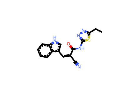 CCc1nnc(NC(=O)C(C#N)=Cc2c[nH]c3ccccc23)s1